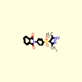 Cc1n[nH]c(C)c1S(=O)(=O)c1ccc(N2C(=O)c3ccccc3C2=O)cc1